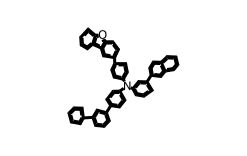 c1ccc(-c2cccc(-c3ccc(N(c4ccc(-c5ccc6oc7ccccc7c6c5)cc4)c4cccc(-c5ccc6ccccc6c5)c4)cc3)c2)cc1